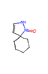 O=[N+]1NC=CC12CCCCC2